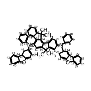 CC1(C)c2cc(N(c3ccccc3)C3C=c4c(oc5ccccc45)=CC3)ccc2-c2c1cc(N(C1=CC=C3Oc4ccccc4C3C1)c1ccccc1)c1c2C(C)(C)c2ccccc2-1